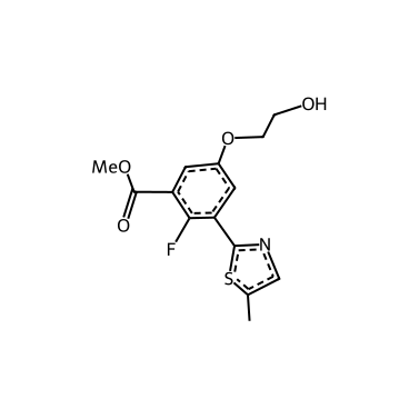 COC(=O)c1cc(OCCO)cc(-c2ncc(C)s2)c1F